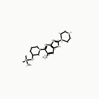 CC(C)(C)[Si](C)(C)OC1CCCN(c2nc3nc(N4CCOCC4)sc3cc2N)C1